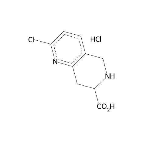 Cl.O=C(O)C1Cc2nc(Cl)ccc2CN1